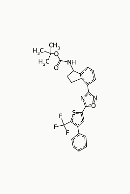 CC(C)(C)OC(=O)NC1CCc2c(-c3noc(-c4cc(-c5ccccc5)c(C(F)(F)F)s4)n3)cccc21